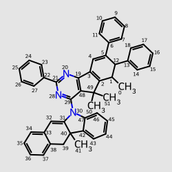 CC1C2=C(C=C(c3ccccc3)C1c1ccccc1)c1nc(-c3ccccc3)nc(N3C4=Cc5ccccc5CC4(C)c4ccccc43)c1C2(C)C